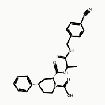 CC(NC(=O)[C@H]1C[C@@H](c2ccccc2)CCN1C(=O)O)C(=O)NCc1ccc(C#N)cc1